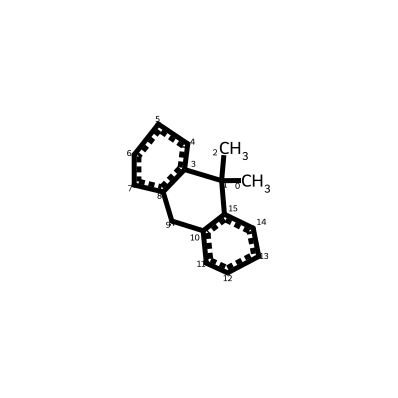 CC1(C)c2ccccc2[C]c2ccccc21